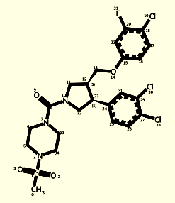 CS(=O)(=O)N1CCN(C(=O)N2C[C@@H](COc3ccc(Cl)c(F)c3)[C@@H](c3ccc(Cl)c(Cl)c3)C2)CC1